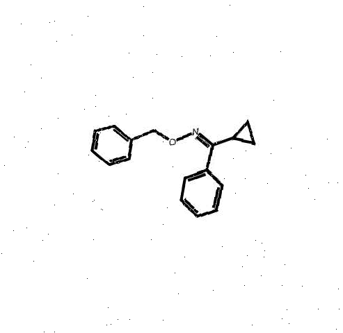 c1ccc(CON=C(c2ccccc2)C2CC2)cc1